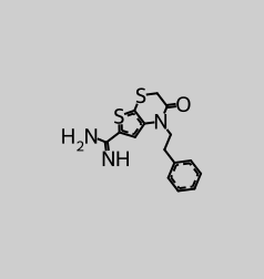 N=C(N)c1cc2c(s1)SCC(=O)N2CCc1ccccc1